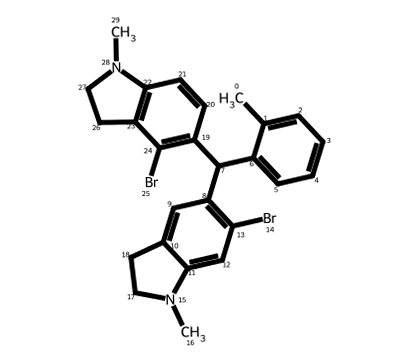 Cc1ccccc1C(c1cc2c(cc1Br)N(C)CC2)c1ccc2c(c1Br)CCN2C